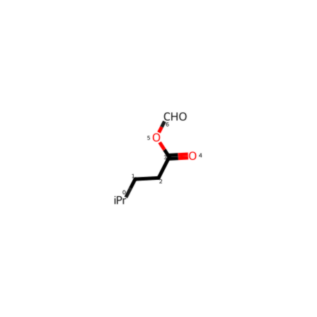 CC(C)CCC(=O)OC=O